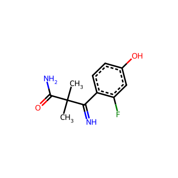 CC(C)(C(=N)c1ccc(O)cc1F)C(N)=O